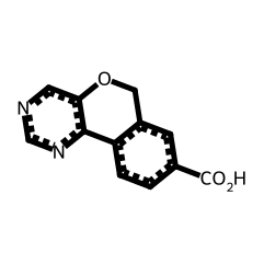 O=C(O)c1ccc2c(c1)COc1cncnc1-2